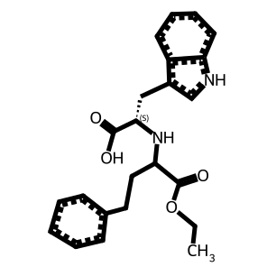 CCOC(=O)C(CCc1ccccc1)N[C@@H](Cc1c[nH]c2ccccc12)C(=O)O